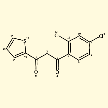 O=C(CC(=O)c1ccc(Cl)cc1Cl)c1cccs1